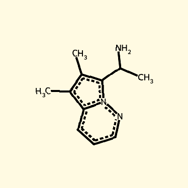 Cc1c(C)c2cccnn2c1C(C)N